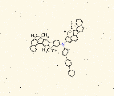 CC1(C)c2cc(N(c3ccc(-c4ccc(-c5ccccc5)cc4)cc3)c3ccc4c5c(ccc4c3)-c3ccc4ccccc4c3C5(C)C)ccc2-c2cc3c(cc21)-c1c(ccc2ccccc12)C3(C)C